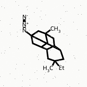 CCC1(C)CC2C3CC4(C)CC2C(C1)C(N=[N+]=[N-])(C3)C4